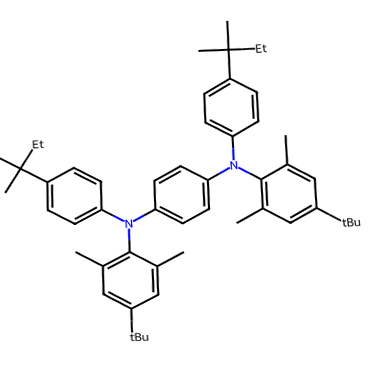 CCC(C)(C)c1ccc(N(c2ccc(N(c3ccc(C(C)(C)CC)cc3)c3c(C)cc(C(C)(C)C)cc3C)cc2)c2c(C)cc(C(C)(C)C)cc2C)cc1